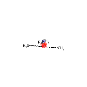 CCCCCCCCCCCCCC=CC=CC(=O)OC(COCCCCCCCCCCCCCCCC)COP(=O)(O)OCC[N+](C)(C)C